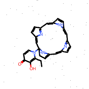 CCc1c(O)c(=O)ccn1C12C=C3C=CC(=N3)C=c3ccc([nH]3)=CC3=NC(=CC(=CC1)N2)C=C3